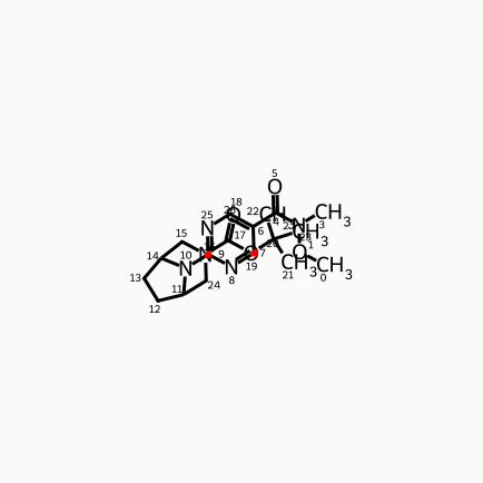 CON(C)C(=O)c1cnc(N2C3CCC2CN(C(=O)OC(C)(C)C)C3)nc1